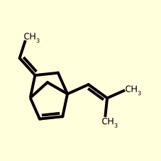 CC=C1CC2(C=C(C)C)C=CC1C2